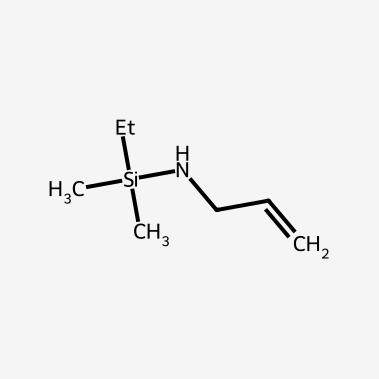 C=CCN[Si](C)(C)CC